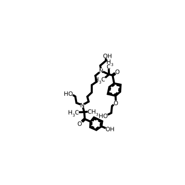 CC(C)(C(=O)c1ccc(O)cc1)N(CCO)CCCCCCN(CCO)C(C)(C)C(=O)c1ccc(OCCO)cc1